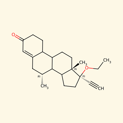 C#C[C@]1(OCC)CCC2C3C(CC[C@@]21C)C1CCC(=O)C=C1C[C@H]3C